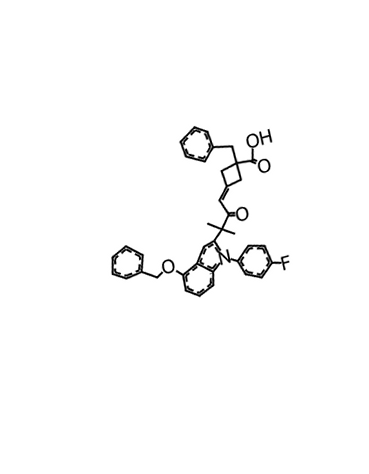 CC(C)(C(=O)C=C1CC(Cc2ccccc2)(C(=O)O)C1)c1cc2c(OCc3ccccc3)cccc2n1-c1ccc(F)cc1